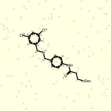 CCCCCCCCCCCCC(=O)Nc1ccc(C[N]Cc2cc(Cl)cc(Cl)c2)cc1